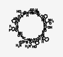 CCCC[C@H]1C(=O)N2C[C@H](O)C[C@@H]2C(=O)N[C@@H](CC(=O)O)C(=O)N[C@@H](C(C)C)C(=O)N(C)[C@@H](Cc2ccccc2)C(=O)N[C@@H](CCC(N)=O)C(=O)N2C[C@H](O)C[C@@H]2C(=O)N[C@@H](Cc2c[nH]c3ccccc23)C(=O)N[C@@H](Cc2ccc(O)cc2)C(=O)N[C@@H](CCCN)C(=O)N[C@H](C(=O)NCC(N)=O)CSCC(=O)N[C@@H](Cc2ccc(F)c(F)c2)C(=O)N(C)[C@@H](Cc2ccccc2)C(=O)N1C